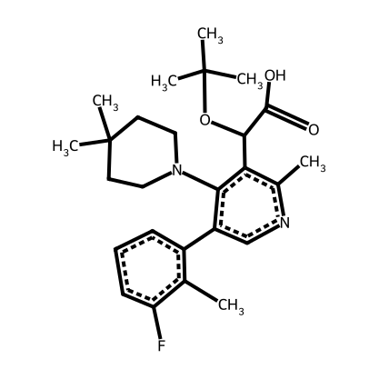 Cc1ncc(-c2cccc(F)c2C)c(N2CCC(C)(C)CC2)c1C(OC(C)(C)C)C(=O)O